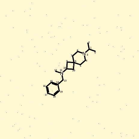 CC(C)N1CCC2(CC1)CC(N(C)Cc1ccccc1)C2